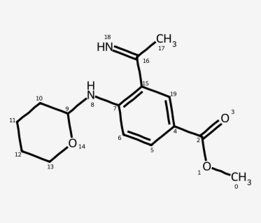 COC(=O)c1ccc(NC2CCCCO2)c(C(C)=N)c1